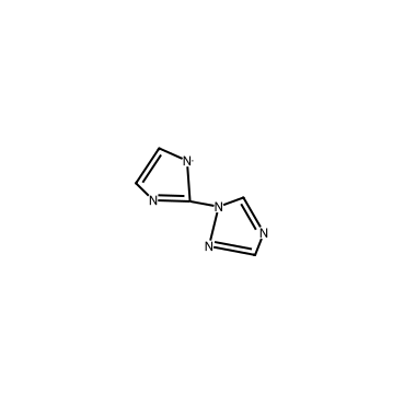 C1=CN=C(n2cncn2)[N]1